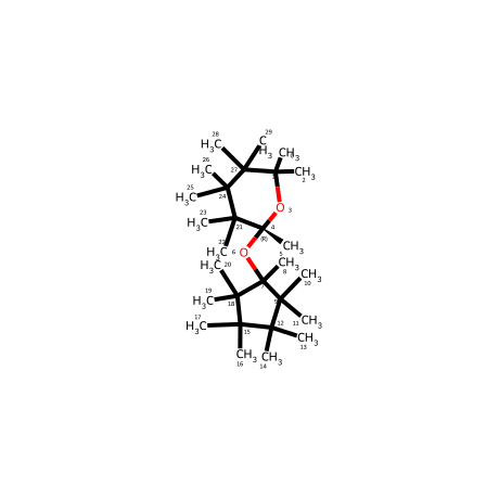 CC1(C)O[C@](C)(OC2(C)C(C)(C)C(C)(C)C(C)(C)C2(C)C)C(C)(C)C(C)(C)C1(C)C